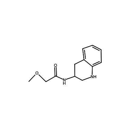 COCC(=O)NC1CNc2ccccc2C1